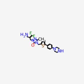 Cc1nn(CC(CN)=C(F)F)c(=O)n1Cc1ccc(-c2ccc(N3CCNCC3)cc2)s1